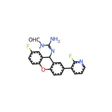 CN(C=O)/C(N)=N\C1c2cc(F)ccc2Oc2ccc(-c3cccnc3F)cc21